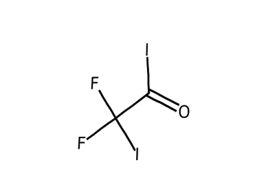 O=C(I)C(F)(F)I